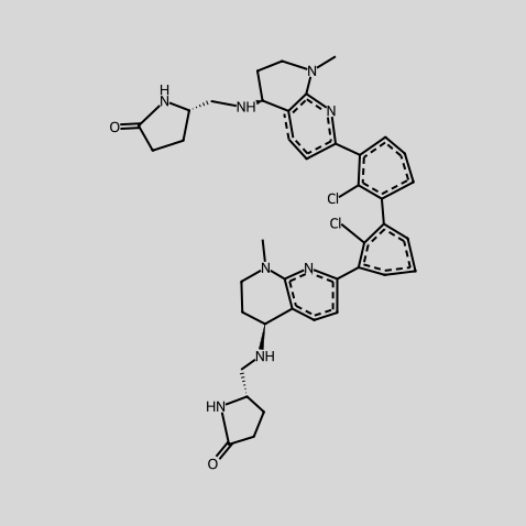 CN1CC[C@H](NC[C@@H]2CCC(=O)N2)c2ccc(-c3cccc(-c4cccc(-c5ccc6c(n5)N(C)CC[C@@H]6NC[C@@H]5CCC(=O)N5)c4Cl)c3Cl)nc21